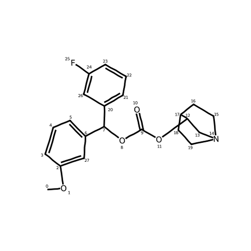 COc1cccc(C(OC(=O)OC2CN3CCC2CC3)c2cccc(F)c2)c1